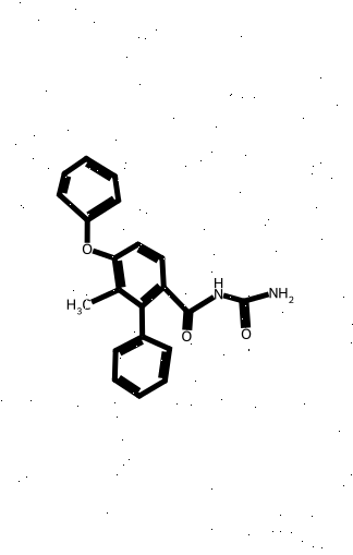 Cc1c(Oc2ccccc2)ccc(C(=O)NC(N)=O)c1-c1ccccc1